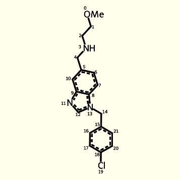 COCCNCc1ccc2c(c1)ncn2Cc1ccc(Cl)cc1